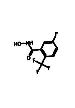 O=C(NO)c1cc(F)ccc1C(F)(F)F